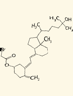 C=C1CCC(OC(=O)CBr)C/C1=C\C=C1/CCCC2(C)C1CCC2C(C)CCCC(C)(C)O